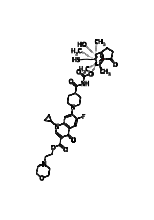 C[C@@H]1CCC23CCC(=O)C2[C@]1(C)[C@H](OC(=O)NC(=O)C1CCN(c2cc4c(cc2F)c(=O)c(C(=O)OCCN2CCOCC2)cn4C2CC2)CC1)C[C@@](C)(S)[C@@H](O)[C@@H]3C